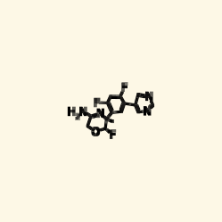 C[C@]1(c2cc(-c3cncnc3)c(F)cc2F)N=C(N)CO[C@@H]1F